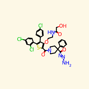 NN=NC(=O)C1(c2ccccc2)CCN(C(=O)c2sc(-c3ccc(Cl)cc3Cl)c(-c3ccc(Cl)cc3)c2OCCNC(=O)CO)CC1